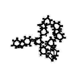 c1cc(-c2nc(-c3ccc4c(c3)sc3ccccc34)nc(-c3ccc4c(c3)sc3ccccc34)n2)c2c(c1)C1(c3cc(-c4cccc5c4sc4ccccc45)ccc3-2)C2CC3CC(C2)CC1C3